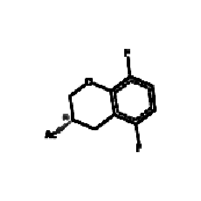 CC(=O)[C@@H]1COc2c(F)ccc(F)c2C1